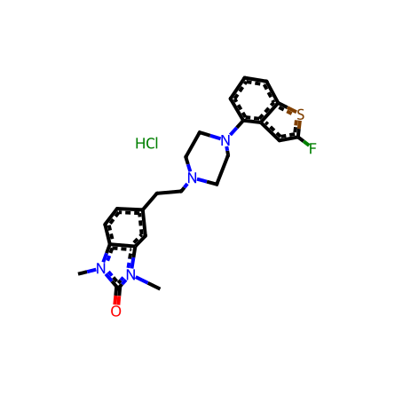 Cl.Cn1c(=O)n(C)c2cc(CCN3CCN(c4cccc5sc(F)cc45)CC3)ccc21